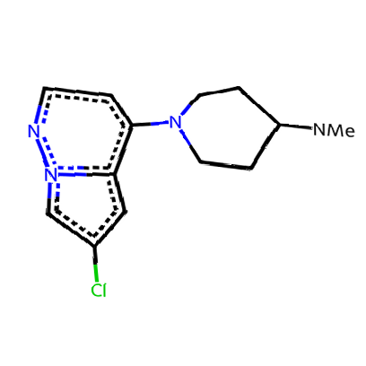 CNC1CCN(c2ccnn3cc(Cl)cc23)CC1